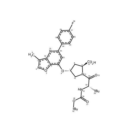 Cc1noc2c(O[C@@H]3C[C@@H](C(=O)O)N(C(=O)[C@@H](NC(=O)OC(C)(C)C)C(C)(C)C)C3)cc(-c3ccc(F)cc3)nc12